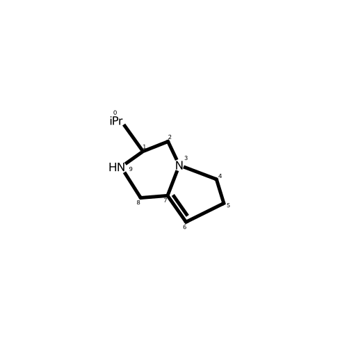 CC(C)C1CN2CCC=C2CN1